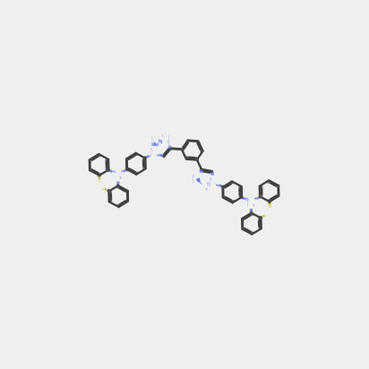 c1cc(-c2cn(-c3ccc(N4c5ccccc5Sc5ccccc54)cc3)nn2)cc(-c2cn(-c3ccc(N4c5ccccc5Sc5ccccc54)cc3)nn2)c1